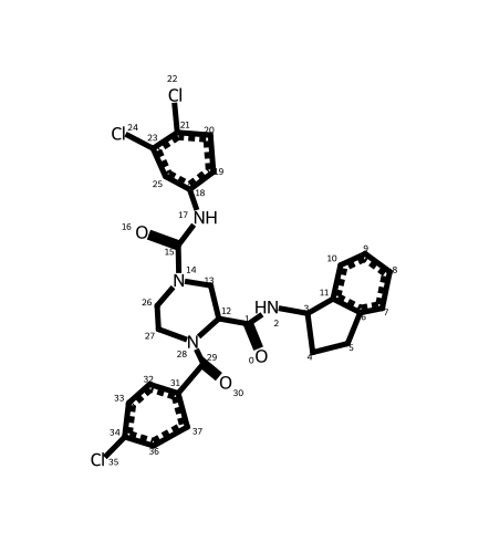 O=C(NC1CCc2ccccc21)C1CN(C(=O)Nc2ccc(Cl)c(Cl)c2)CCN1C(=O)c1ccc(Cl)cc1